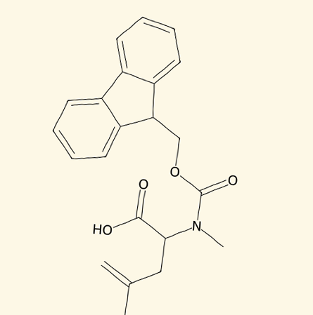 C=C(C)CC(C(=O)O)N(C)C(=O)OCC1c2ccccc2-c2ccccc21